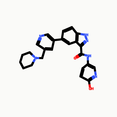 O=C(Nc1ccc(O)nc1)c1n[nH]c2ccc(-c3cncc(CN4CCCCC4)c3)cc12